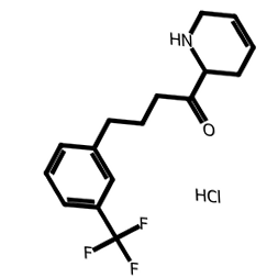 Cl.O=C(CCCc1cccc(C(F)(F)F)c1)C1CC=CCN1